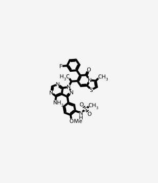 COc1ccc(-c2nn(C(C)c3cc4scc(C)n4c(=O)c3-c3cccc(F)c3)c3ncnc(N)c23)cc1NS(C)(=O)=O